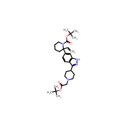 C=CC1(c2ccc3c(C4CCN(CC(=O)OC(C)(C)C)CC4)n[nH]c3c2)CCCCN1C(=O)OC(C)(C)C